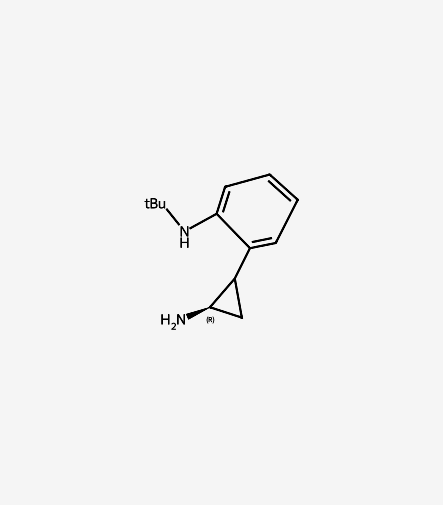 CC(C)(C)Nc1ccccc1C1C[C@H]1N